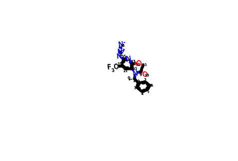 C[C@@H](c1ccccc1)N1C(=O)COc2nc(N=[N+]=[N-])c(C(F)(F)F)cc21